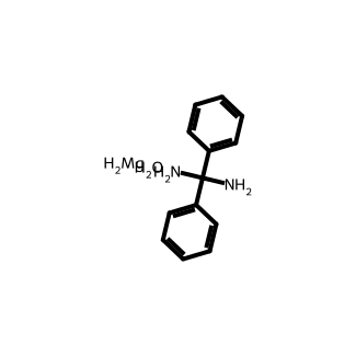 NC(N)(c1ccccc1)c1ccccc1.O.[MgH2]